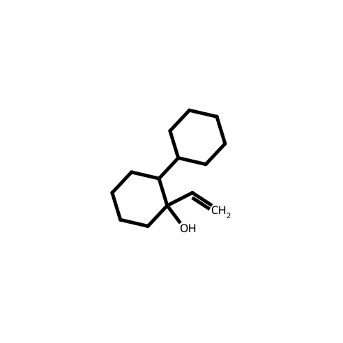 C=CC1(O)CCCCC1C1CCCCC1